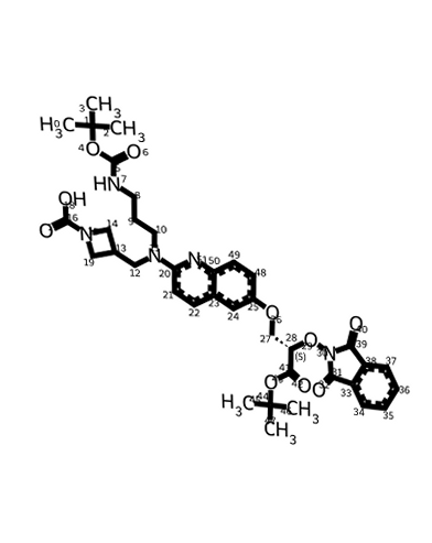 CC(C)(C)OC(=O)NCCCN(CC1CN(C(=O)O)C1)c1ccc2cc(OC[C@H](ON3C(=O)c4ccccc4C3=O)C(=O)OC(C)(C)C)ccc2n1